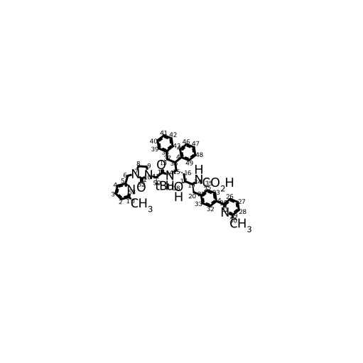 Cc1cccc(CN2CCN([C@H](C(=O)N[C@@H](C[C@@H](O)[C@H](Cc3ccc(-c4cccc(C)n4)cc3)NC(=O)O)C(Cc3ccccc3)c3ccccc3)C(C)(C)C)C2=O)n1